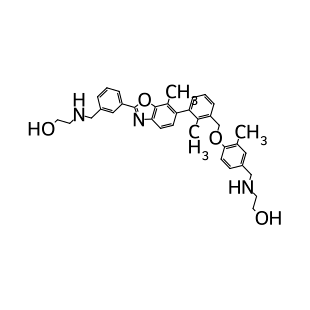 Cc1cc(CNCCO)ccc1OCc1cccc(-c2ccc3nc(-c4cccc(CNCCO)c4)oc3c2C)c1C